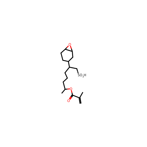 C=C(C)C(=O)OC(C)CCCC(CS(=O)(=O)O)C1CCC2OC2C1